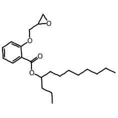 CCCCCCCCC(CCC)OC(=O)c1ccccc1OCC1CO1